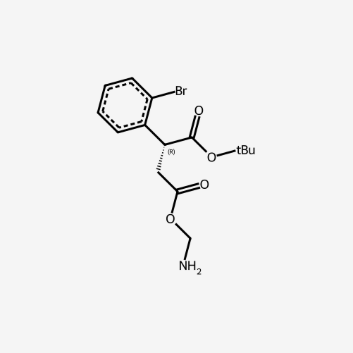 CC(C)(C)OC(=O)[C@H](CC(=O)OCN)c1ccccc1Br